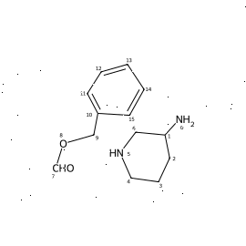 NC1CCCNC1.O=COCc1ccccc1